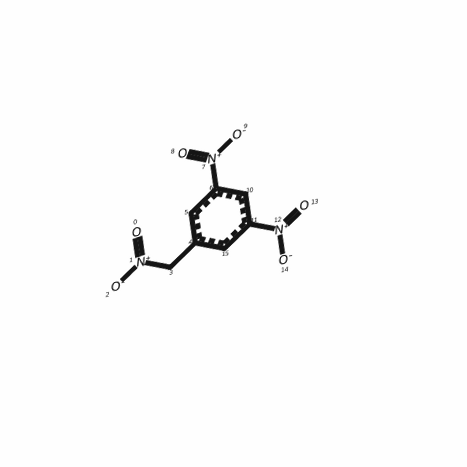 O=[N+]([O-])Cc1cc([N+](=O)[O-])cc([N+](=O)[O-])c1